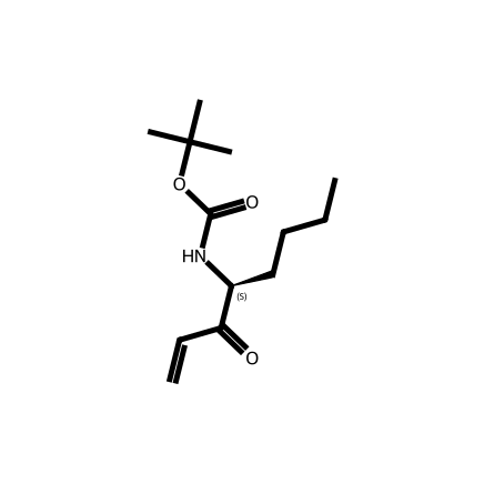 C=CC(=O)[C@H](CCCC)NC(=O)OC(C)(C)C